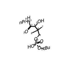 CCCNC(=O)C(O)C(C)(C)COP(=O)(O)OC(C)(C)C